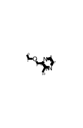 CCOCc1nccnc1C